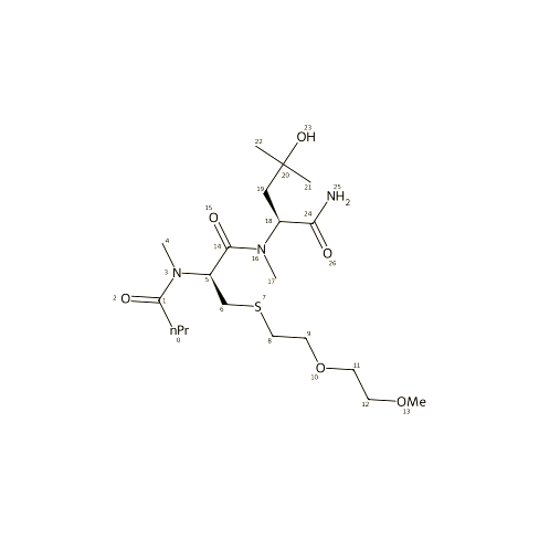 CCCC(=O)N(C)[C@H](CSCCOCCOC)C(=O)N(C)[C@@H](CC(C)(C)O)C(N)=O